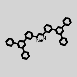 c1ccc(-c2cc(-c3ccccc3)cc(-c3cccc(-c4cc(-c5cccc(-c6cc(-c7ccccc7)cc(-c7ccccc7)c6)c5)ncn4)c3)c2)cc1